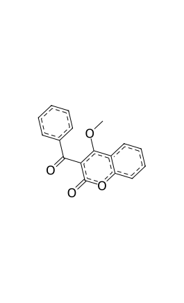 COc1c(C(=O)c2ccccc2)c(=O)oc2ccccc12